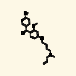 C=CCN(C)CC=CCOc1ccc(C(=O)c2ccc(Br)cc2)c(SC)c1